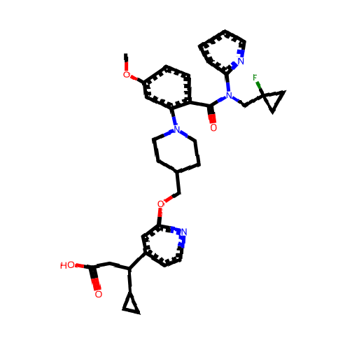 COc1ccc(C(=O)N(CC2(F)CC2)c2ccccn2)c(N2CCC(COc3cc(C(CC(=O)O)C4CC4)ccn3)CC2)c1